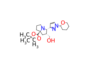 CC(C)(C)OC(=O)[C@@]12CCCN1[C@H](c1ccn(C3CCCCO3)n1)[C@H](CO)C2